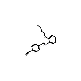 CCCCOc1ccccc1/N=C/c1ccc(C#N)cc1